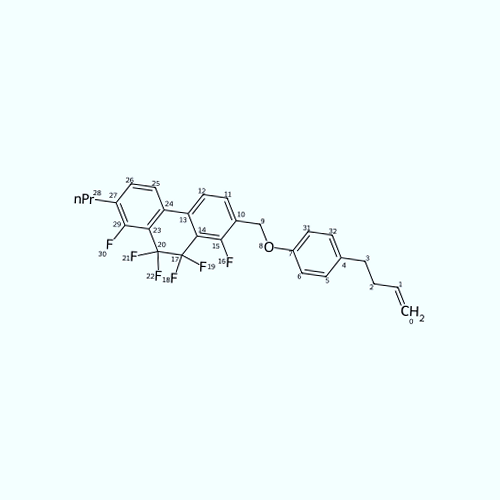 C=CCCc1ccc(OCc2ccc3c(c2F)C(F)(F)C(F)(F)c2c-3ccc(CCC)c2F)cc1